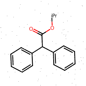 CC(C)OC(=O)C(c1ccccc1)c1ccccc1